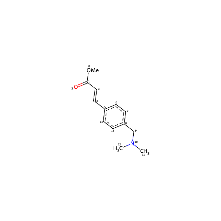 COC(=O)/C=C/c1ccc(CN(C)C)cc1